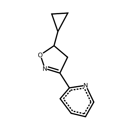 c1ccc(C2=NOC(C3CC3)C2)nc1